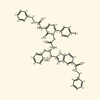 O=C(Cn1c(-c2ccc(F)cc2)ncc(NC(=O)OCc2ccccc2)c1=O)NC(Cc1ccccc1)C(O)c1nc2cc(C(=O)OCc3ccccc3)ccc2o1